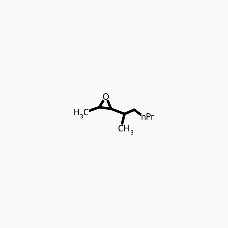 CCCCC(C)C1OC1C